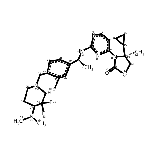 C[C@H](Nc1nccc(N2C(=O)OC[C@]2(C)C2CC2)n1)c1ccc(CN2CCC(N(C)C)C(F)(F)C2)c(F)c1